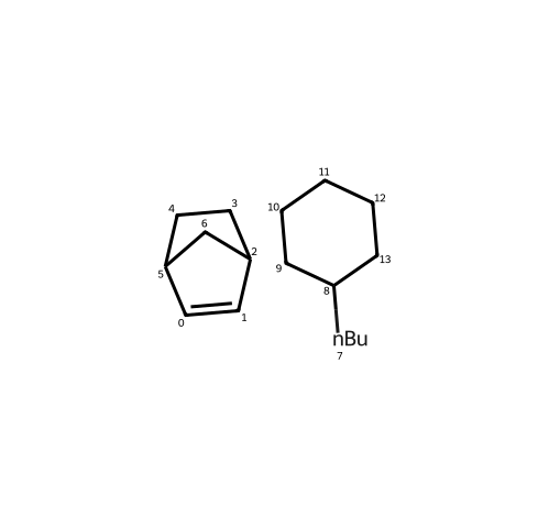 C1=CC2CCC1C2.CCCCC1CCCCC1